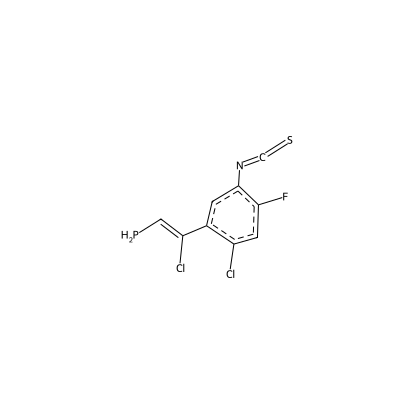 Fc1cc(Cl)c(C(Cl)=CP)cc1N=C=S